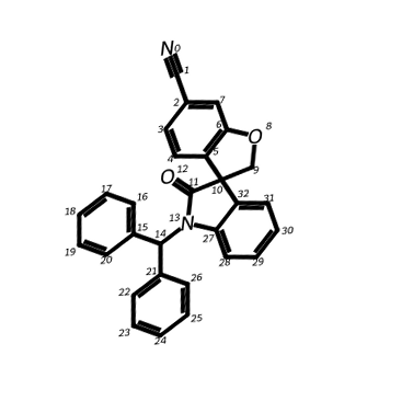 N#Cc1ccc2c(c1)OCC21C(=O)N(C(c2ccccc2)c2ccccc2)c2ccccc21